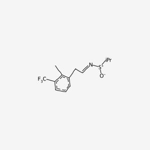 Cc1c(CC=N[S+]([O-])C(C)C)cccc1C(F)(F)F